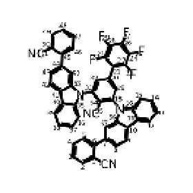 N#Cc1ccccc1-c1ccc2c3ccccc3n(-c3cc(-c4c(F)c(F)c(F)c(F)c4F)cc(-n4c5ccccc5c5ccc(-c6ccccc6C#N)cc54)c3C#N)c2c1